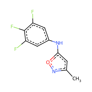 Cc1cc(Nc2cc(F)c(F)c(F)c2)on1